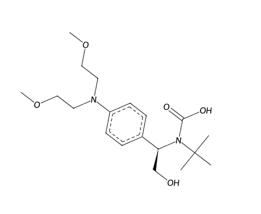 COCCN(CCOC)c1ccc([C@H](CO)N(C(=O)O)C(C)(C)C)cc1